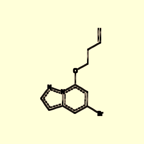 C=CCCOc1cc(Br)cc2ccnn12